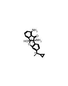 C[C@@H](c1ccc2c(c1)O[C@]1(O)c3cccc(N)c3C(=O)[C@]21N)C1CC1